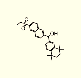 CCS(=O)(=O)c1ccc2cc(C(O)c3ccc4c(c3)C(C)(C)CCC4(C)C)ccc2c1